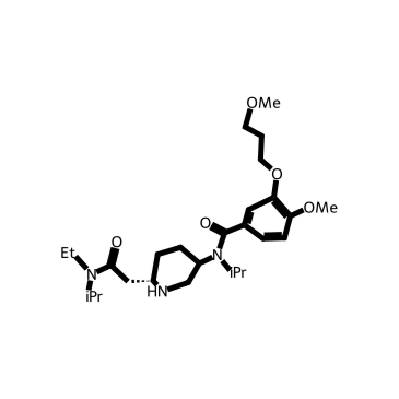 CCN(C(=O)C[C@@H]1CCC(N(C(=O)c2ccc(OC)c(OCCCOC)c2)C(C)C)CN1)C(C)C